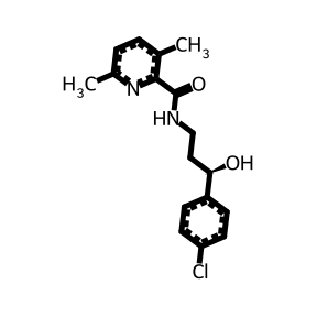 Cc1ccc(C)c(C(=O)NCC[C@@H](O)c2ccc(Cl)cc2)n1